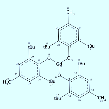 Cc1cc(C(C)(C)C)c([O][Gd]([O]c2c(C(C)(C)C)cc(C)cc2C(C)(C)C)[O]c2c(C(C)(C)C)cc(C)cc2C(C)(C)C)c(C(C)(C)C)c1